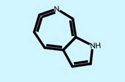 C1=CC=c2cc[nH]c2=CN=1